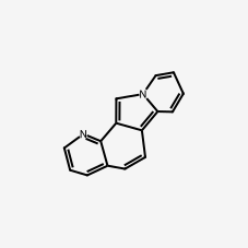 c1cnc2c(c1)ccc1c2cn2ccccc12